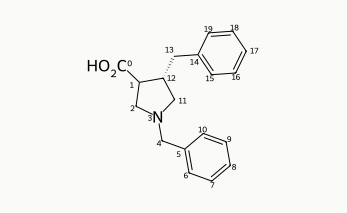 O=C(O)C1CN(Cc2ccccc2)C[C@H]1Cc1ccccc1